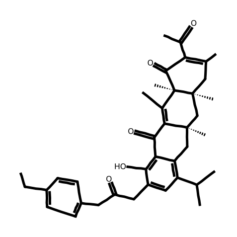 CCc1ccc(CC(=O)Cc2cc(C(C)C)c3c(c2O)C(=O)C2=C(C)[C@@]4(C)C(=O)C(C(C)=O)=C(C)C[C@@]4(C)C[C@@]2(C)C3)cc1